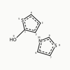 Oc1cccs1.c1cscn1